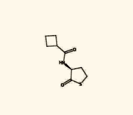 O=C(N[C@H]1CCSC1=O)C1CCC1